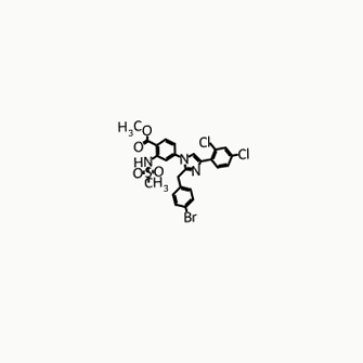 COC(=O)c1ccc(-n2cc(-c3ccc(Cl)cc3Cl)nc2Cc2ccc(Br)cc2)cc1NS(C)(=O)=O